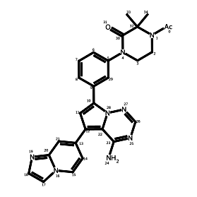 CC(=O)N1CCN(c2cccc(-c3cc(-c4ccn5ccnc5c4)c4c(N)ncnn34)c2)C(=O)C1(C)C